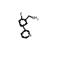 NCc1cc(-c2cccnc2)ccc1F